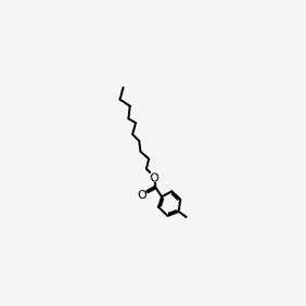 CCCCCCCCCCOC(=O)c1ccc(C)cc1